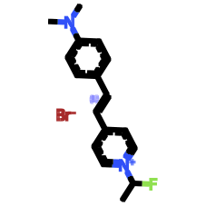 CC(F)[n+]1ccc(/C=C/c2ccc(N(C)C)cc2)cc1.[Br-]